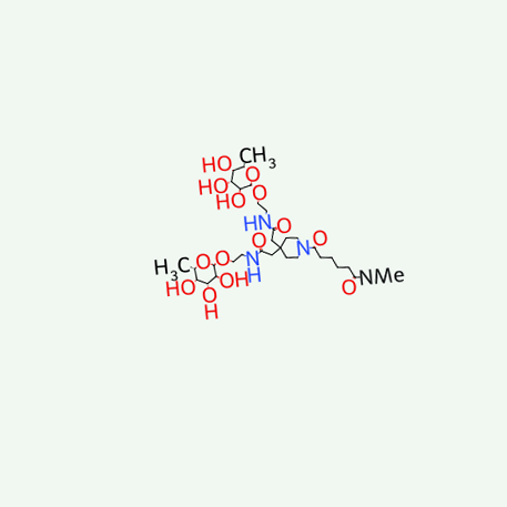 CNC(=O)CCCCC(=O)N1CCC(CC(=O)NCCO[C@@H]2O[C@@H](C)[C@@H](O)[C@@H](O)[C@@H]2O)(CC(=O)NCCO[C@@H]2O[C@@H](C)[C@@H](O)[C@@H](O)[C@@H]2O)CC1